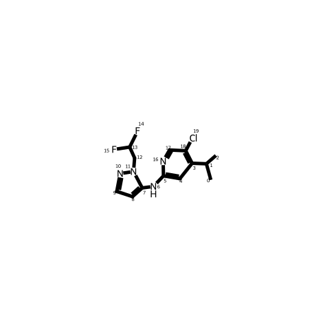 CC(C)c1cc(Nc2ccnn2CC(F)F)ncc1Cl